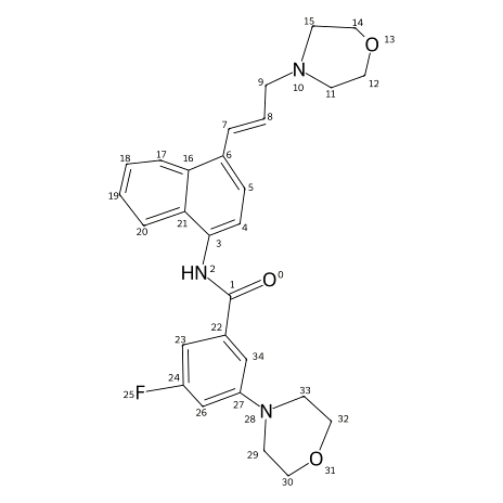 O=C(Nc1ccc(/C=C/CN2CCOCC2)c2ccccc12)c1cc(F)cc(N2CCOCC2)c1